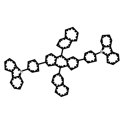 c1ccc2cc(-c3c4ccc(-c5ccc(-n6c7ccccc7c7ccccc76)cc5)cc4c(-c4ccc5ccccc5c4)c4ccc(-c5ccc(-n6c7ccccc7c7ccccc76)cc5)cc34)ccc2c1